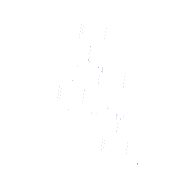 CC1=CCC([C@H]2[C@@H](C(=O)Nc3cccc(C(C)(C)C)c3)CCCN2C(=O)c2c(C)cccc2C)C=C1